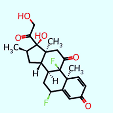 C[C@@H]1C[C@H]2[C@@H]3C[C@H](F)C4=CC(=O)C=C[C@]4(C)[C@@]3(F)C(=O)C[C@]2(C)[C@@]1(O)C(=O)CO